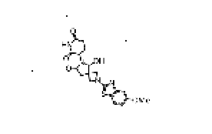 COc1ccc2sc(N3CC4(CC(=O)N(C5CCC(=O)NC5=O)C4O)C3)nc2c1